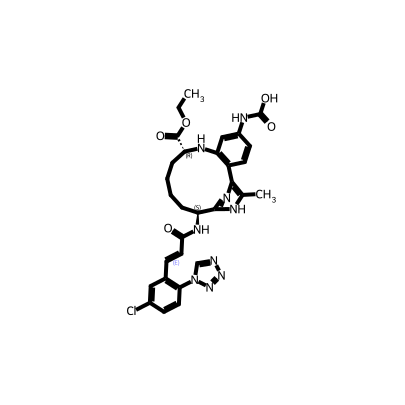 CCOC(=O)[C@H]1CCCC[C@H](NC(=O)/C=C/c2cc(Cl)ccc2-n2cnnn2)c2nc(c(C)[nH]2)-c2ccc(NC(=O)O)cc2N1